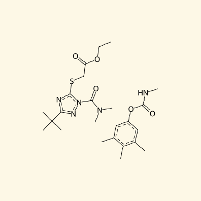 CCOC(=O)CSc1nc(C(C)(C)C)nn1C(=O)N(C)C.CNC(=O)Oc1cc(C)c(C)c(C)c1